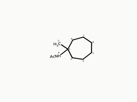 CC(=O)NC1(C)CCCCCC1